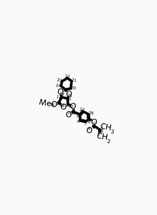 C=C(C)C(=O)Oc1ccc(C(=O)OC2OC(OC)C3OC4(CCCCC4)OC23)cc1